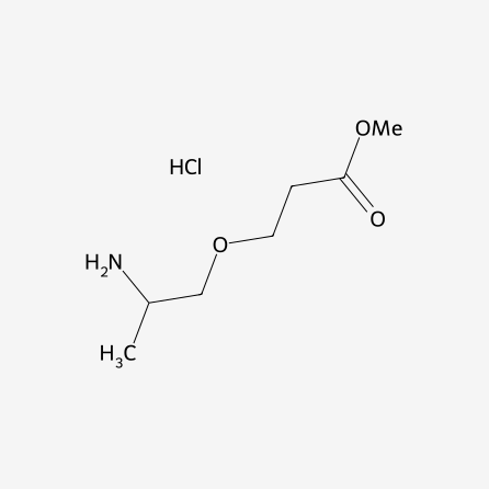 COC(=O)CCOCC(C)N.Cl